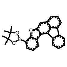 CC1(C)OB(c2cccc3c2oc2cc4cccc5c4c(c23)-c2ccccc2-5)OC1(C)C